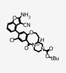 CC(C)(C)OC(=O)N1CCN2C(=O)c3cc(Cl)c(-c4cccc5oc(N)c(C#N)c45)cc3OCC[C@H]2C1